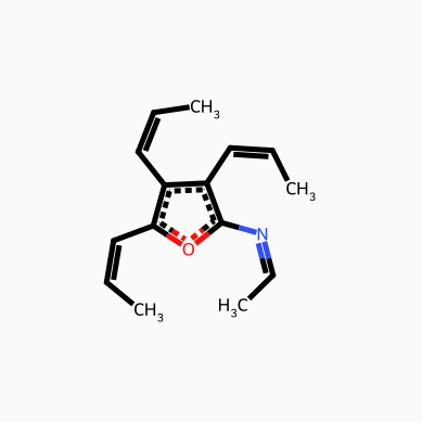 C/C=C\c1oc(/N=C\C)c(/C=C\C)c1/C=C\C